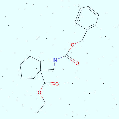 CCOC(=O)C1(CNC(=O)OCc2ccccc2)CCCCC1